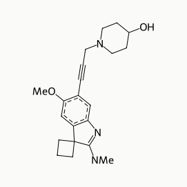 CNC1=Nc2cc(C#CCN3CCC(O)CC3)c(OC)cc2C12CCC2